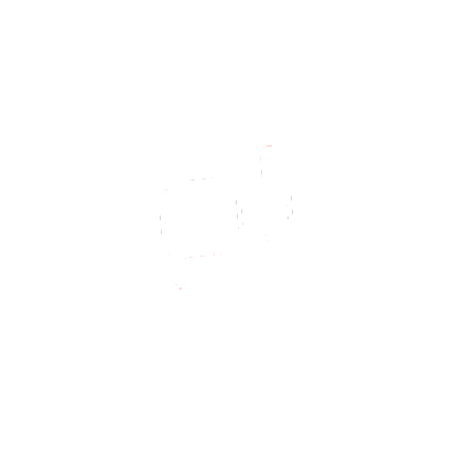 O/C1=C/C=C\Cc2c(O)cccc2O1